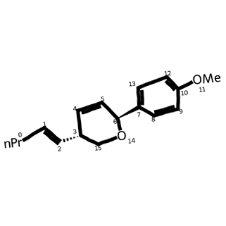 CCCC=C[C@@H]1C=C[C@@H](c2ccc(OC)cc2)OC1